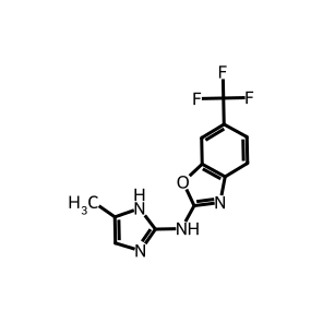 Cc1cnc(Nc2nc3ccc(C(F)(F)F)cc3o2)[nH]1